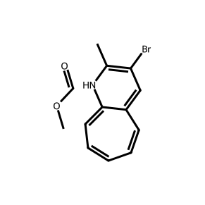 CC1=C(Br)C=C2C=CC=CC=C2N1.COC=O